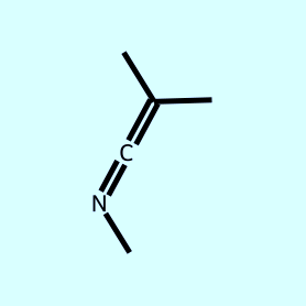 CN=C=C(C)C